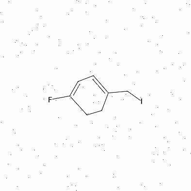 FC1=CC=C(CI)CC1